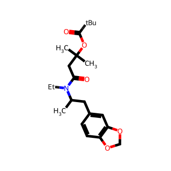 CCN(C(=O)CC(C)(C)OC(=O)C(C)(C)C)C(C)Cc1ccc2c(c1)OCO2